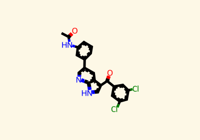 CC(=O)Nc1cccc(-c2cnc3[nH]cc(C(=O)c4cc(Cl)cc(Cl)c4)c3c2)c1